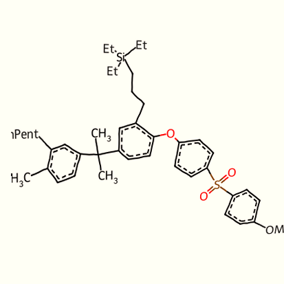 CCCCCc1cc(C(C)(C)c2ccc(Oc3ccc(S(=O)(=O)c4ccc(OC)cc4)cc3)c(CCC[Si](CC)(CC)CC)c2)ccc1C